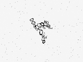 Nc1c(Br)cc(C[C@@H](NC(=O)N2CCC(N3CCc4ccccc4NC3=O)CC2)C(=O)N2CCC(N3CCCCC3)CC2)cc1Br.O=C(O)/C=C\C(=O)O